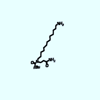 CCCCC(=O)N(CCCCCCCCCCCCCN)CCC(N)=O